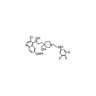 COc1ccc2ncc(Cl)c([C@@H](O)CCC3(CO)CCN(CCNc4cc(F)c(F)c(F)c4)CC3)c2c1